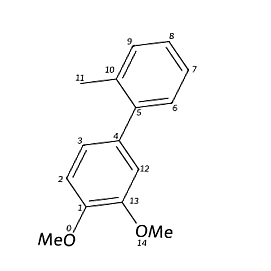 COc1ccc(-c2ccccc2C)cc1OC